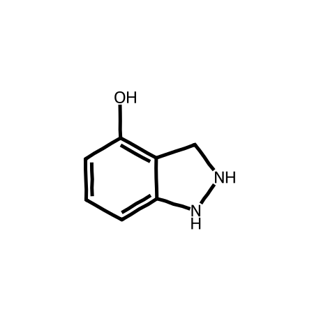 Oc1cccc2c1CNN2